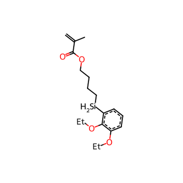 C=C(C)C(=O)OCCCC[SiH2]c1cccc(OCC)c1OCC